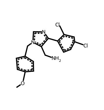 COc1ccc(Cn2cnc(-c3ccc(Cl)cc3Cl)c2CN)cc1